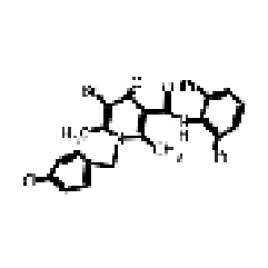 Cc1c(Br)c(=O)c(C(=O)Nc2c(C(C)C)cccc2C(C)C)c(C)n1Cc1ccc(Cl)cc1